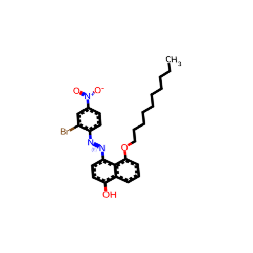 CCCCCCCCCCOc1cccc2c(O)ccc(/N=N/c3ccc([N+](=O)[O-])cc3Br)c12